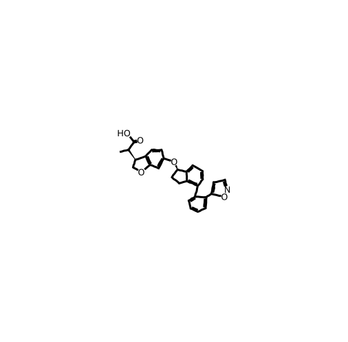 CC(C(=O)O)[C@@H]1COc2cc(O[C@@H]3CCc4c(-c5ccccc5-c5ccno5)cccc43)ccc21